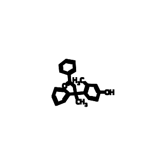 Cc1cc(O)ccc1C(C)(CC(=O)c1ccccc1)c1ccccc1